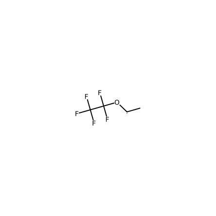 C[CH]OC(F)(F)C(F)(F)F